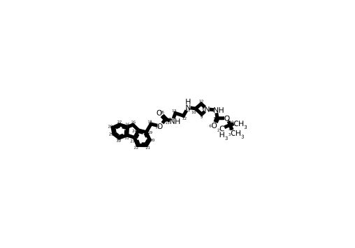 CC(C)(C)OC(=O)NN1CC(NCCNC(=O)OCc2cccc3c2Cc2ccccc2-3)C1